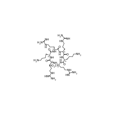 N=C(N)NCCC[C@H](NC(=O)[C@H](CCCCN)NC(=O)[C@H](CCCNC(=N)N)NC(=O)[C@H](CCCNC(=N)N)NC(=O)[C@H](CCCCN)NC(=O)[C@@H](N)CCCNC(=N)N)C(=O)O